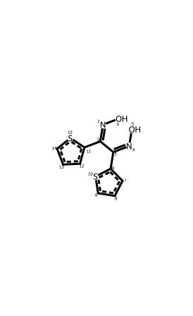 O/N=C(\C(=N/O)c1cccs1)c1cccs1